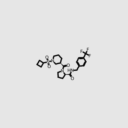 O=C(NCc1ccc(C(F)(F)F)cc1)[C@H]1CCCN1C(=O)[C@@H]1CCCN(S(=O)(=O)C2CCC2)C1